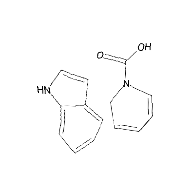 O=C(O)N1C=CC=CC1.c1ccc2[nH]ccc2c1